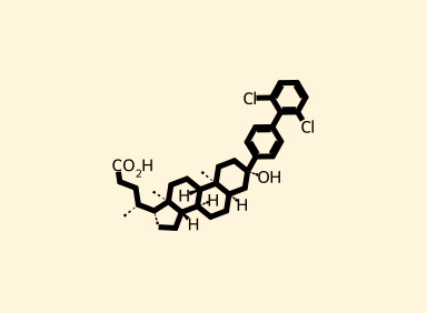 C[C@H](CCC(=O)O)[C@H]1CC[C@H]2[C@@H]3CC[C@@H]4C[C@](O)(c5ccc(-c6c(Cl)cccc6Cl)cc5)CC[C@]4(C)[C@H]3CC[C@]12C